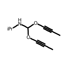 CC#COC(NC(C)C)OC#CC